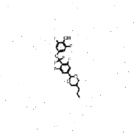 CCCC1COC(c2cc(F)c(C(F)(F)Oc3cc(F)c(O)c(F)c3)c(F)c2)OC1